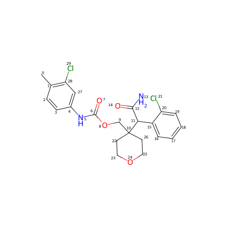 Cc1ccc(NC(=O)OCC2(C(C(N)=O)c3ccccc3Cl)CCOCC2)cc1Cl